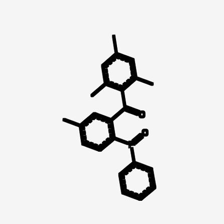 Cc1cc(C)c(C(=O)c2cc(C)ccc2[P](=O)c2ccccc2)c(C)c1